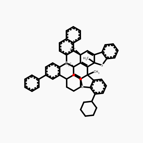 CC12Sc3ccccc3C1=CC1(C)C3=C2C2(C)C(=CC3(C)N(c3ccc(-c4ccccc4)cc3C3CCCCC3)c3ccc4ccccc4c31)Oc1c(C3CCCCC3)cccc12